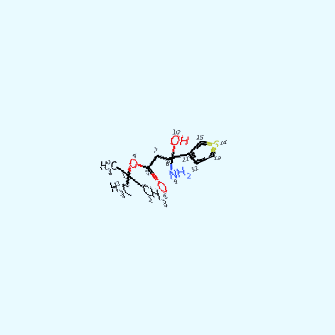 CC(C)(C)OC(=O)CC(N)(O)c1ccsc1